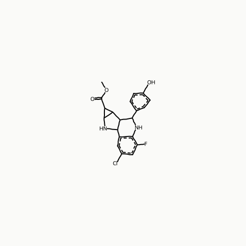 COC(=O)C1C2NC3c4cc(Cl)cc(F)c4NC(c4ccc(O)cc4)C3C21